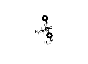 COc1ccc(N2C(=O)[C@H](OCc3ccccc3)[C@@H]2C(C)(F)F)cc1